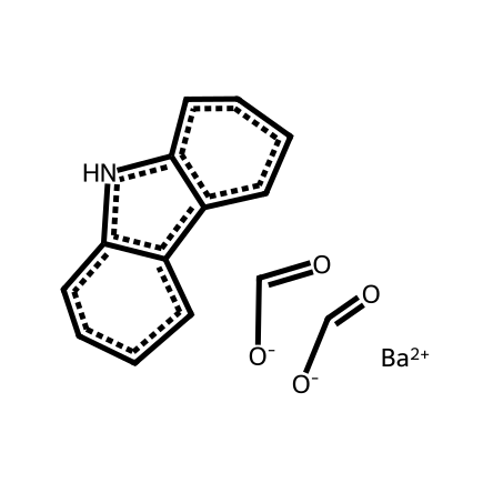 O=C[O-].O=C[O-].[Ba+2].c1ccc2c(c1)[nH]c1ccccc12